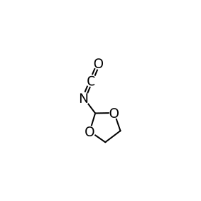 O=C=NC1OCCO1